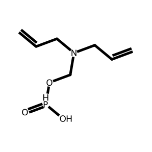 C=CCN(CC=C)CO[PH](=O)O